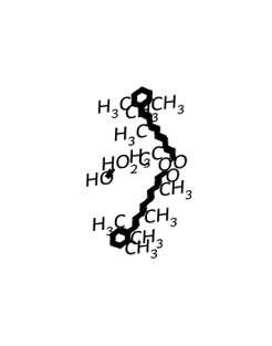 CC1=C(/C=C/C(C)=C/C=C/C(C)=C/C(=O)OC(=O)/C=C(C)/C=C/C=C(C)/C=C/C2=C(C)CCCC2(C)C)C(C)(C)CCC1.O=C(O)CO